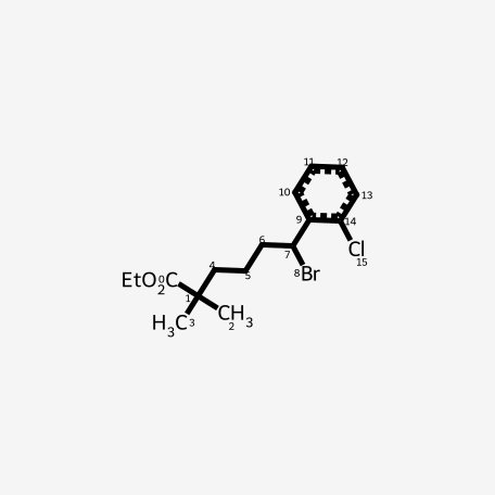 CCOC(=O)C(C)(C)CCCC(Br)c1ccccc1Cl